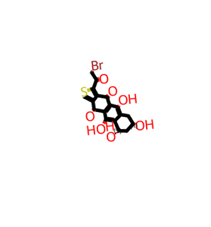 O=C(CBr)c1scc2c1C(=O)c1c(O)c3c(c(O)c1C2=O)[C@@H](O)C[C@H](O)C3